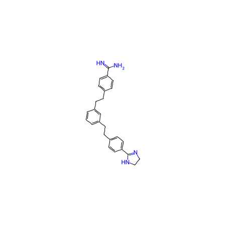 N=C(N)c1ccc(CCc2cccc(CCc3ccc(C4=NCCN4)cc3)c2)cc1